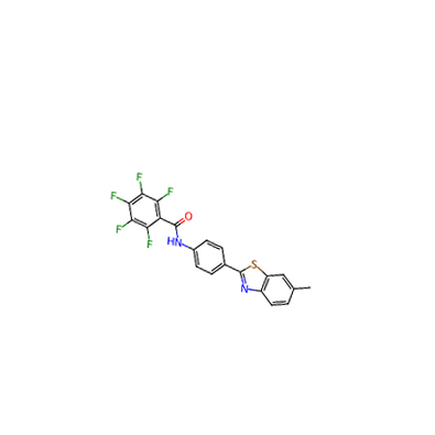 Cc1ccc2nc(-c3ccc(NC(=O)c4c(F)c(F)c(F)c(F)c4F)cc3)sc2c1